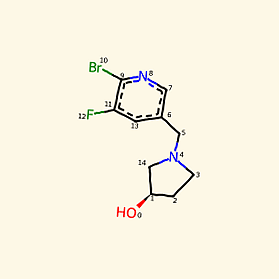 O[C@@H]1CCN(Cc2cnc(Br)c(F)c2)C1